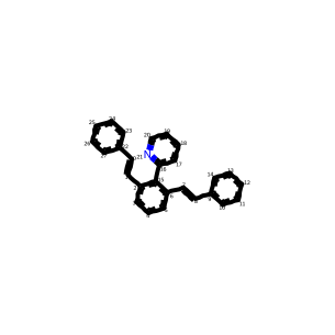 C(=Cc1cccc(C=Cc2ccccc2)c1-c1ccccn1)c1ccccc1